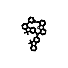 CC(C)(C)c1cccc2c1oc1c(N(c3ccc4c(c3)C(C)(C)c3ccccc3-4)c3ccc4c(c3)C(C)(C)c3cccc(-c5ccccc5)c3-4)cccc12